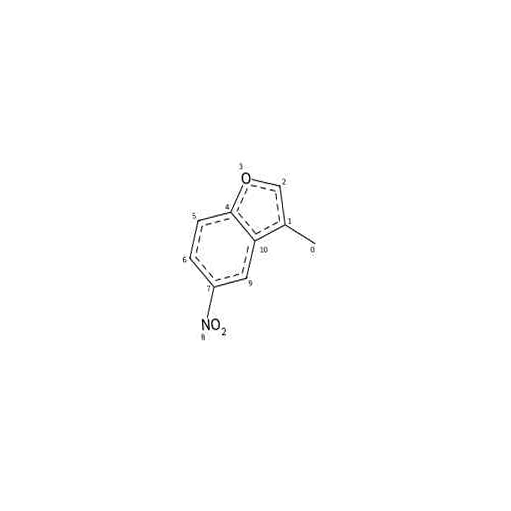 Cc1coc2ccc([N+](=O)[O-])cc12